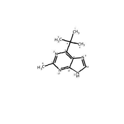 Cc1nc(C(C)(C)C)c2nc[nH]c2n1